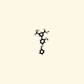 COC(=O)c1cc(-c2ccc(OCc3ccccc3)cc2OC)cc(C(=O)O)n1